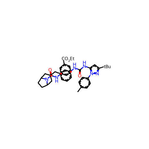 CCOC(=O)c1cccc(NC(=O)N2C3CCC2CC(Cc2cccc(NC(=O)Nc4cc(C(C)(C)C)nn4-c4ccc(C)cc4)c2)C3)c1